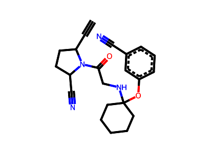 C#CC1CCC(C#N)N1C(=O)CNC1(Oc2cccc(C#N)c2)CCCCC1